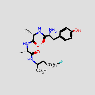 CC(=O)F.CC(C)[C@H](NC(=O)[C@@H](N)Cc1ccc(O)cc1)C(=O)N[C@@H](C)C(=O)N[C@@H](CC(=O)O)C(=O)O